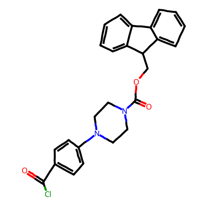 O=C(Cl)c1ccc(N2CCN(C(=O)OCC3c4ccccc4-c4ccccc43)CC2)cc1